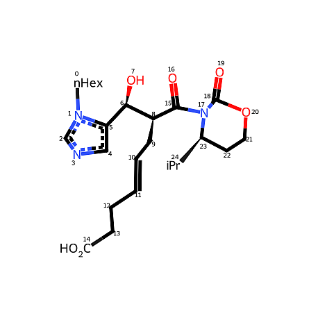 CCCCCCn1cncc1[C@@H](O)[C@H](CC=CCCC(=O)O)C(=O)N1C(=O)OCC[C@H]1C(C)C